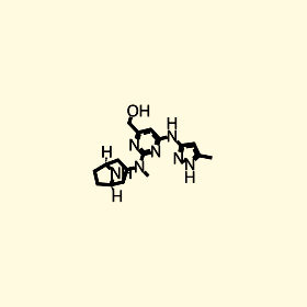 Cc1cc(Nc2cc(CO)nc(N(C)C3C[C@H]4CC[C@@H](C3)N4)n2)n[nH]1